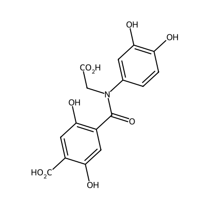 O=C(O)CN(C(=O)c1cc(O)c(C(=O)O)cc1O)c1ccc(O)c(O)c1